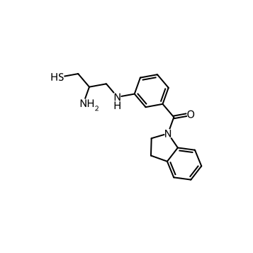 NC(CS)CNc1cccc(C(=O)N2CCc3ccccc32)c1